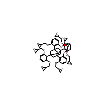 c1cc(OCC2CO2)c(C23CC4(c5c(OCC6CO6)cccc5OCC5CO5)CC(c5c(OCC6CO6)cccc5OCC5CO5)(C2)CC(c2c(OCC5CO5)cccc2OCC2CO2)(C3)C4)c(OCC2CO2)c1